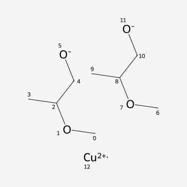 COC(C)C[O-].COC(C)C[O-].[Cu+2]